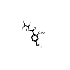 COc1cc(N)ccc1C(=O)NC(F)C(F)F